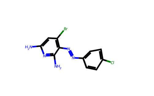 Nc1cc(Br)c(N=Nc2ccc(Cl)cc2)c(N)n1